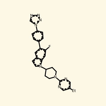 CCc1cnc(N2CCC(n3ccc4cc(-c5ccc(-n6cnnn6)cc5)c(F)cc43)CC2)nc1